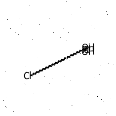 O=P(O)(O)CCCCCCCCCCCCCCCCCCCCCCCCCCCCCCCCCCCl